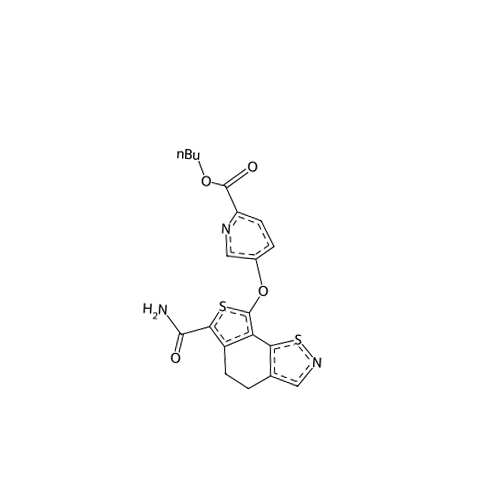 CCCCOC(=O)c1ccc(Oc2sc(C(N)=O)c3c2-c2sncc2CC3)cn1